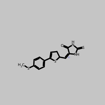 CSc1ccc(C2=CCC(/C=C3/NC(=S)NC3=O)S2)cc1